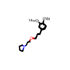 COc1ccc(CCCOCCCN2CCCC2)cc1OC